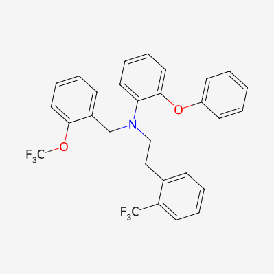 FC(F)(F)Oc1ccccc1CN(CCc1ccccc1C(F)(F)F)c1ccccc1Oc1ccccc1